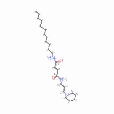 CCCCCCCCCCCCNC(=O)CCC(=O)NCCCN1CCCCC1